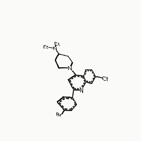 CCN(CC)C1CCN(c2cc(-c3ccc(Br)cc3)nc3cc(Cl)ccc23)CC1